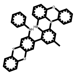 Cc1cc(-c2cc3c(cc2Nc2ccccc2)Sc2ccccc2O3)c2c(c1)N1c3ccccc3Oc3cccc(c31)B2